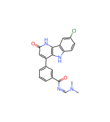 CN(C)/C=N\C(=O)c1cccc(-c2cc(=O)[nH]c3c2[nH]c2ccc(Cl)cc23)c1